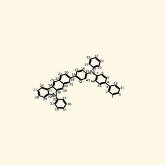 c1ccc(-c2ccc(N(c3ccccc3)c3ccc(-c4ccc5cc6c7ccccc7n(-c7ccccc7)c6cc5c4)cc3)cc2)cc1